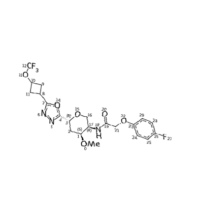 CO[C@H]1C[C@H](c2nnc(C3CC(OC(F)(F)F)C3)o2)OC[C@H]1NC(=O)COc1ccc(F)cc1